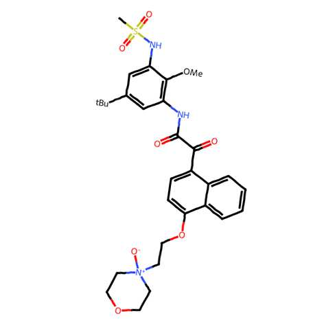 COc1c(NC(=O)C(=O)c2ccc(OCC[N+]3([O-])CCOCC3)c3ccccc23)cc(C(C)(C)C)cc1NS(C)(=O)=O